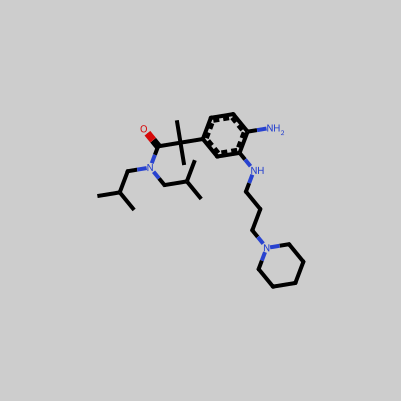 CC(C)CN(CC(C)C)C(=O)C(C)(C)c1ccc(N)c(NCCCN2CCCCC2)c1